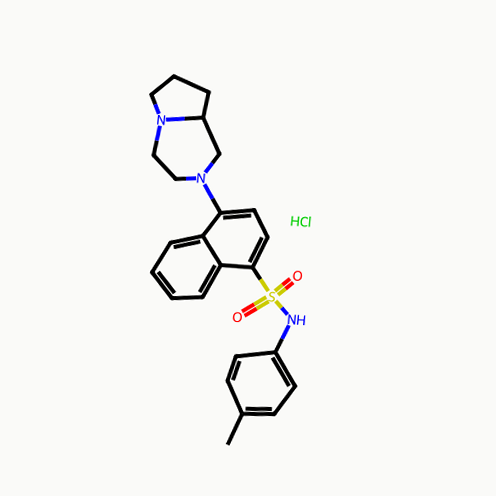 Cc1ccc(NS(=O)(=O)c2ccc(N3CCN4CCCC4C3)c3ccccc23)cc1.Cl